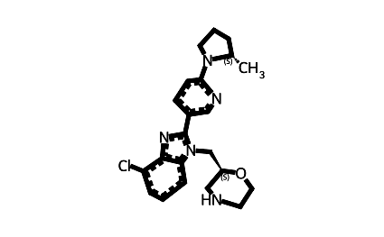 C[C@H]1CCCN1c1ccc(-c2nc3c(Cl)cccc3n2C[C@@H]2CNCCO2)cn1